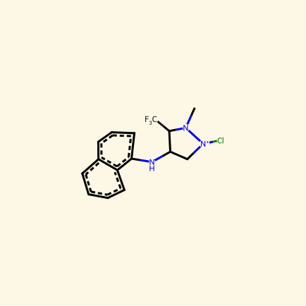 CN1C(C(F)(F)F)C(Nc2cccc3ccccc23)C[N+]1Cl